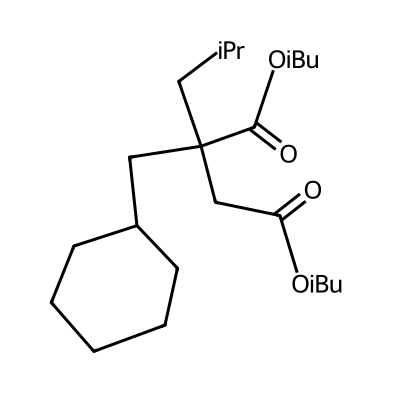 CC(C)COC(=O)CC(CC(C)C)(CC1CCCCC1)C(=O)OCC(C)C